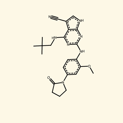 COc1cc(N2CCCC2=O)ccc1Nc1nc(NCC(C)(C)C)c2c(C#N)c[nH]c2n1